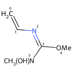 C=C/N=C(/OC)N(C)O